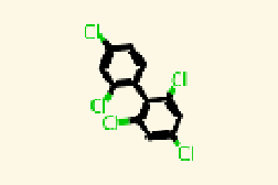 Clc1[c]c(Cl)c(-c2ccc(Cl)cc2Cl)c(Cl)c1